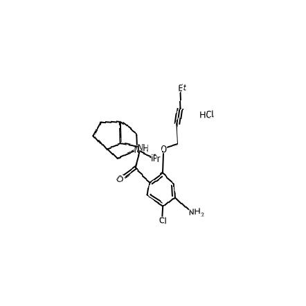 CCC#CCOc1cc(N)c(Cl)cc1C(=O)NC1C2CCC1CN(C(C)C)C2.Cl